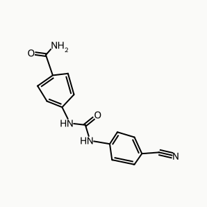 N#Cc1ccc(NC(=O)Nc2ccc(C(N)=O)cc2)cc1